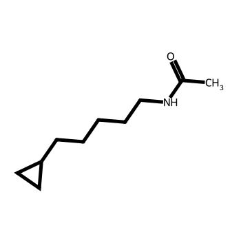 CC(=O)NCCCCCC1CC1